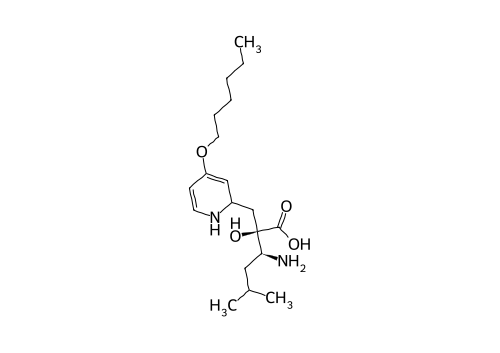 CCCCCCOC1=CC(C[C@](O)(C(=O)O)[C@@H](N)CC(C)C)NC=C1